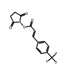 O=C(C=Cc1ccc(C(F)(F)F)cc1)ON1C(=O)CCC1=O